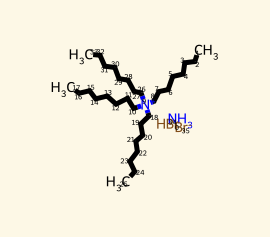 Br.CCCCCCCC[N+](CCCCCCCC)(CCCCCCCC)CCCCCCCC.N.[Br-]